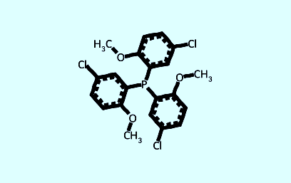 COc1ccc(Cl)cc1P(c1cc(Cl)ccc1OC)c1cc(Cl)ccc1OC